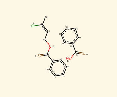 CC(Cl)=CCOC(=S)c1ccccc1.OC(=S)c1ccccc1